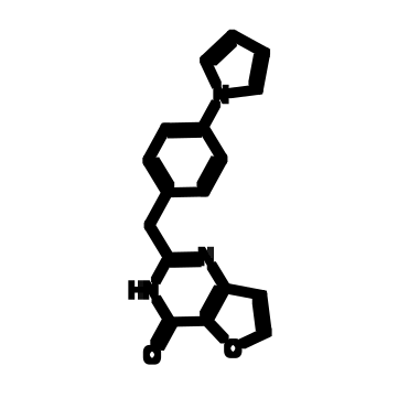 O=c1[nH]c(Cc2ccc(-n3cccc3)cc2)nc2ccoc12